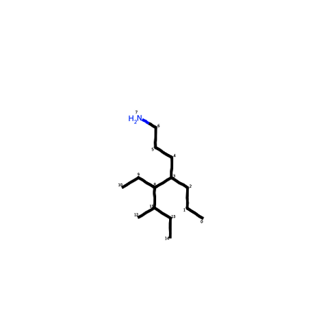 CCCC(CCCN)C(CC)C(C)CC